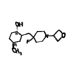 C[C@H]1CC[C@H](O)C(CC2(F)CCN(C3COC3)CC2)C1